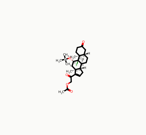 CC(=O)OCC(=O)C1=CC[C@H]2[C@@H]3CC[C@H]4CC(=O)CC[C@]4(C)[C@@]3(F)[C@@H](O[Si](C)(C)C)C[C@]12C